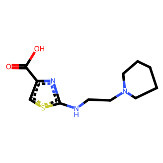 O=C(O)c1csc(NCCN2CCCCC2)n1